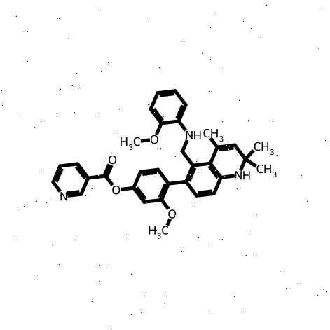 COc1ccccc1NCc1c(-c2ccc(OC(=O)c3cccnc3)cc2OC)ccc2c1C(C)=CC(C)(C)N2